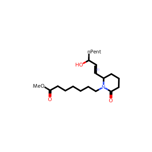 CCCCCC(O)/C=C/C1CCCC(=O)N1CCCCCCC(=O)OC